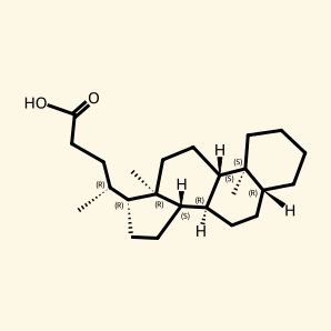 C[C@H](CCC(=O)O)[C@H]1CC[C@H]2[C@@H]3CC[C@H]4CCCC[C@]4(C)[C@H]3CC[C@]12C